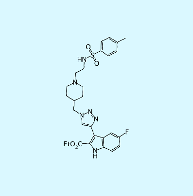 CCOC(=O)c1[nH]c2ccc(F)cc2c1-c1cn(CC2CCN(CCNS(=O)(=O)c3ccc(C)cc3)CC2)nn1